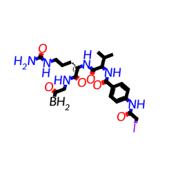 BC(=O)CNC(=O)[C@H](CCCNC(N)=O)NC(=O)C(NC(=O)c1ccc(NC(=O)CI)cc1)C(C)C